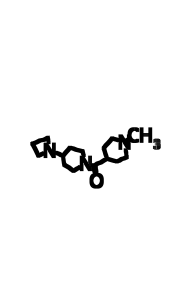 CN1CCC(C(=O)N2CCC(N3CCC3)CC2)CC1